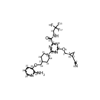 N#CC1C[C@@H]1COc1nc(C(=O)NCC(F)(F)F)nc(N2CCC(COc3cccnc3N)CC2)n1